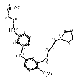 COc1ccc(Nc2nccc(NCCNC(C)=O)n2)cc1OCCCN1CCCC1